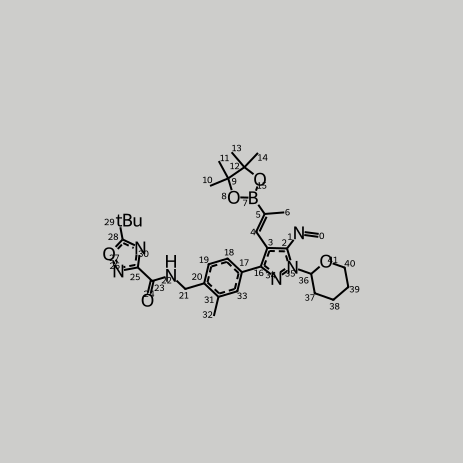 C=Nc1c(/C=C(\C)B2OC(C)(C)C(C)(C)O2)c(-c2ccc(CNC(=O)c3noc(C(C)(C)C)n3)c(C)c2)nn1C1CCCCO1